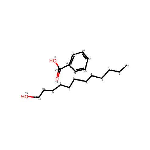 CCCCCCCCCCCCO.O=C(O)c1ccccc1